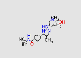 C=C/C(=C\N(C)CCO)Nc1ncc(C)c(-c2ccc(C(=O)N[C@H](C#N)C(C)C)cc2)n1